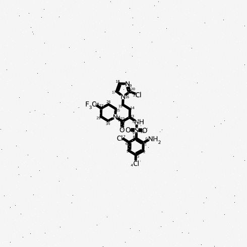 Nc1cc(Cl)cc(Cl)c1S(=O)(=O)NC(CCn1ccnc1Cl)C(=O)N1CCC(C(F)(F)F)CC1